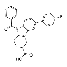 O=C(O)C1CCc2c(c3cc(-c4ccc(F)cc4)ccc3n2C(=O)c2ccccc2)C1